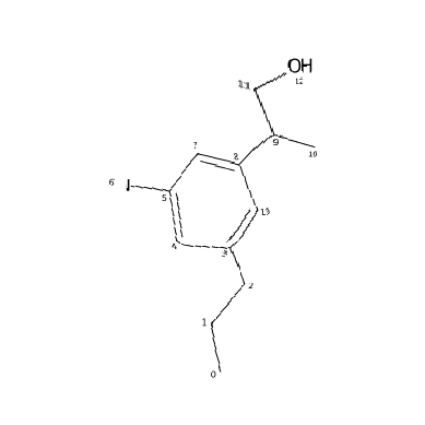 CCCc1cc(I)cc([C](C)CO)c1